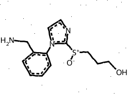 NCc1ccccc1-n1ccnc1[S+]([O-])CCCO